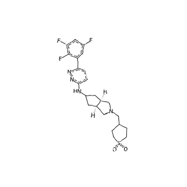 O=S1(=O)CCC(CN2C[C@H]3CC(Nc4ccc(-c5cc(F)cc(F)c5F)nn4)C[C@H]3C2)CC1